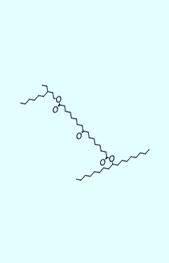 CCCCCCCCC(CCCCCCCC)OC(=O)CCCCCCCC(=O)CCCCCCCC(=O)OCCC(CC)CCCCCC